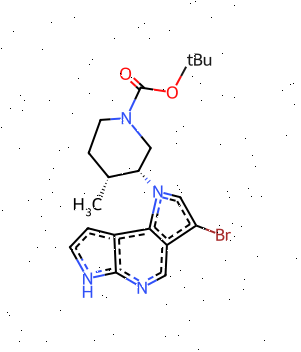 C[C@@H]1CCN(C(=O)OC(C)(C)C)C[C@@H]1n1cc(Br)c2cnc3[nH]ccc3c21